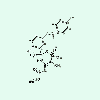 CN1/C(=N/C(=O)OC(C)(C)C)N[C@](C)(c2cc(CNc3ccc(F)cn3)ccc2F)CS1(=O)=O